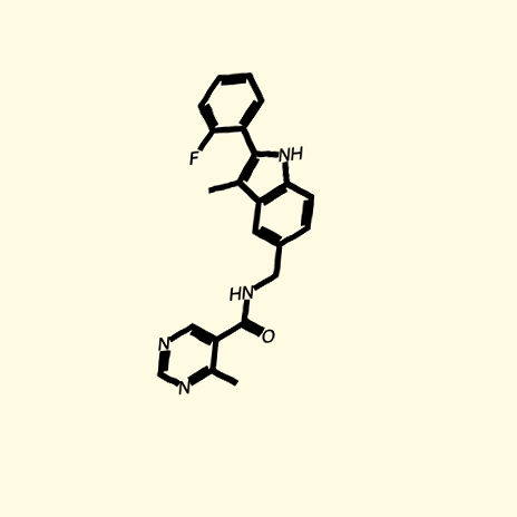 Cc1ncncc1C(=O)NCc1ccc2[nH]c(-c3ccccc3F)c(C)c2c1